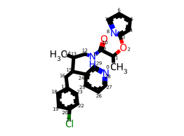 CC(Oc1ccccn1)C(=O)NCC(C)C(Cc1ccc(Cl)cc1)c1cccnc1